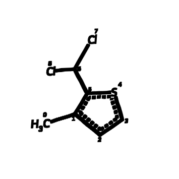 Cc1ccsc1C(Cl)Cl